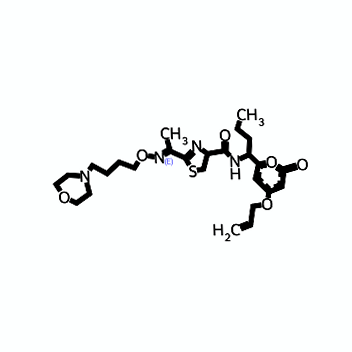 C=CCOc1cc(C(CCC)NC(=O)C2CSC(/C(C)=N/OCCCCN3CCOCC3)=N2)oc(=O)c1